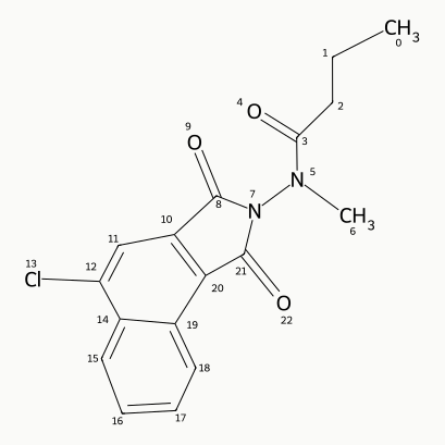 CCCC(=O)N(C)N1C(=O)c2cc(Cl)c3ccccc3c2C1=O